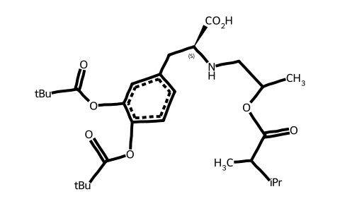 CC(CN[C@@H](Cc1ccc(OC(=O)C(C)(C)C)c(OC(=O)C(C)(C)C)c1)C(=O)O)OC(=O)C(C)C(C)C